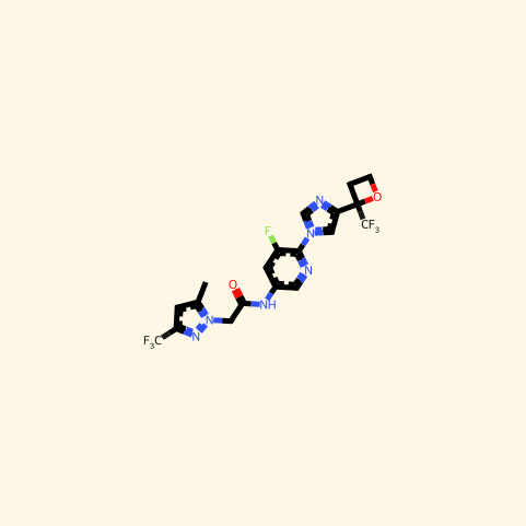 Cc1cc(C(F)(F)F)nn1CC(=O)Nc1cnc(-n2cnc(C3(C(F)(F)F)CCO3)c2)c(F)c1